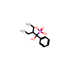 CCC(CC)C(O)(c1ccccc1)P(=O)(O)O